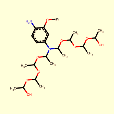 CC(C)Oc1cc(N(C(C)OC(C)OC(C)OC(C)O)C(C)OC(C)OC(C)OC(C)O)ccc1N